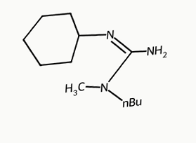 CCCCN(C)C(N)=NC1CCCCC1